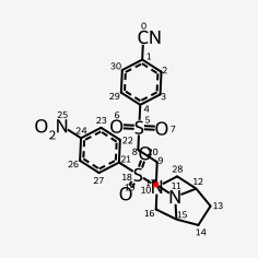 N#Cc1ccc(S(=O)(=O)CCCN2C3CCC2CN(S(=O)(=O)c2ccc([N+](=O)[O-])cc2)C3)cc1